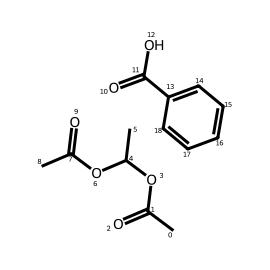 CC(=O)OC(C)OC(C)=O.O=C(O)c1ccccc1